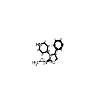 CON=C1OCC(c2ccccc2)N1C1CCNCC1